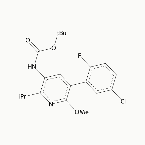 COc1nc(C(C)C)c(NC(=O)OC(C)(C)C)cc1-c1cc(Cl)ccc1F